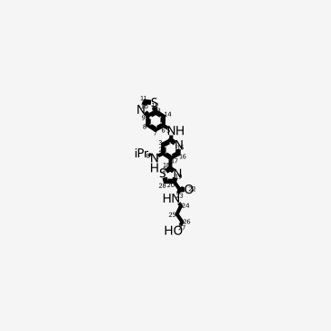 CC(C)Nc1cc(Nc2ccc3ncsc3c2)ncc1-c1nc(C(=O)NCCCO)cs1